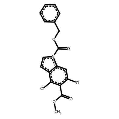 COC(=O)c1c(Cl)cc2c(ccn2C(=O)OCc2ccccc2)c1Cl